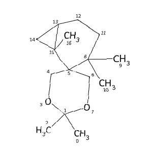 CC1(C)OCC2(CO1)C(C)(C)CCC1CC12C